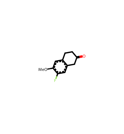 COc1cc2c(cc1F)CC(=O)CC2